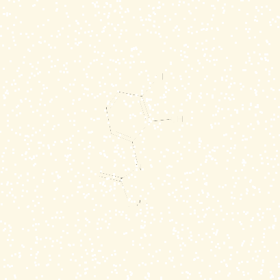 [CH2]OC(=O)Nc1cccc(Cl)c1C